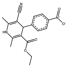 CCOC(=O)C1=C(C)NC(C)=C(C#N)C1c1ccc([N+](=O)[O-])cc1